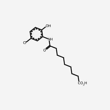 O=C(O)CCCCCCCC(=O)Nc1cc(Cl)ccc1O